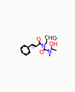 CC(O)N(C)C(=O)N(C[C]=O)C(=O)/C=C/c1ccccc1